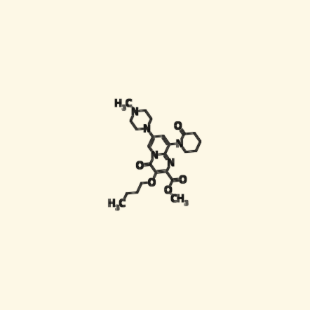 CCCCOc1c(C(=O)OC)nc2c(N3CCCCC3=O)cc(N3CCN(C)CC3)cn2c1=O